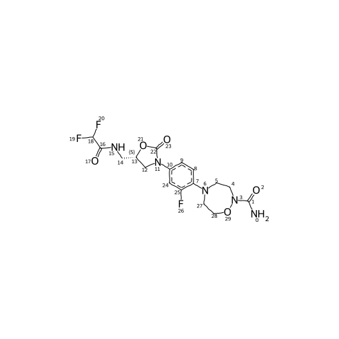 NC(=O)N1CCN(c2ccc(N3C[C@H](CNC(=O)C(F)F)OC3=O)cc2F)CCO1